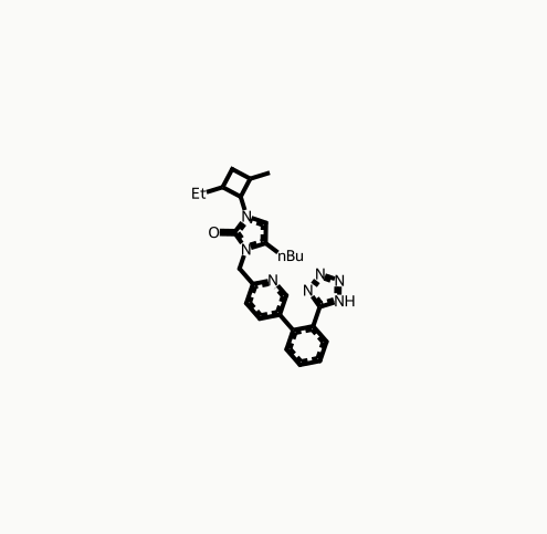 CCCCc1cn(C2C(C)CC2CC)c(=O)n1Cc1ccc(-c2ccccc2-c2nnn[nH]2)cn1